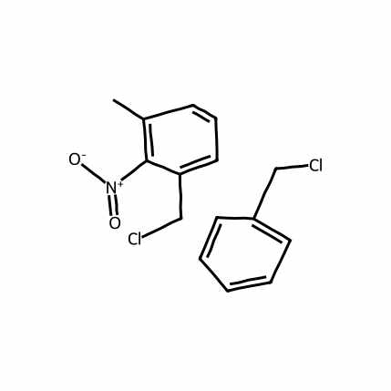 Cc1cccc(CCl)c1[N+](=O)[O-].ClCc1ccccc1